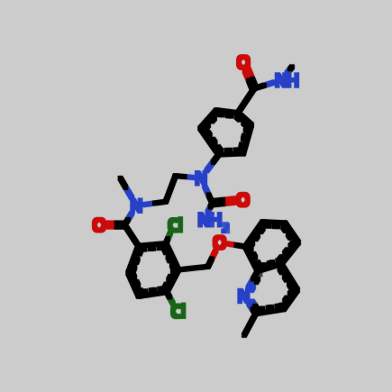 CNC(=O)c1ccc(N(CCN(C)C(=O)c2ccc(Cl)c(COc3cccc4ccc(C)nc34)c2Cl)C(N)=O)cc1